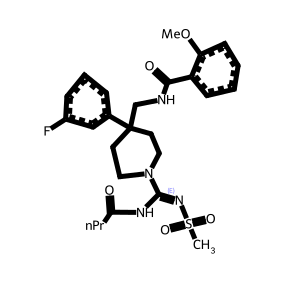 CCCC(=O)N/C(=N\S(C)(=O)=O)N1CCC(CNC(=O)c2ccccc2OC)(c2cccc(F)c2)CC1